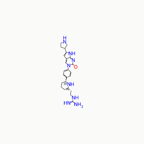 N=C(N)NCC[C@@H]1CCC[C@@H](c2ccc(-n3cc4cc(C5CCNC5)[nH]c4nc3=O)cc2)N1